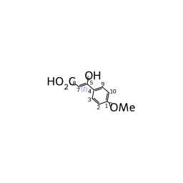 COc1ccc(/C(O)=C/C(=O)O)cc1